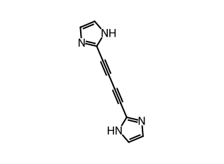 C(C#Cc1ncc[nH]1)#Cc1ncc[nH]1